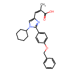 CC(=Cc1cn(C2CCCCC2)c(-c2ccc(OCc3ccccc3)cc2)n1)C(=O)O